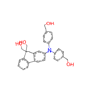 OCc1ccc(N(c2ccc(CO)cc2)c2ccc3c(c2)C(CO)(CO)c2ccccc2-3)cc1